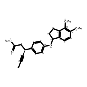 CC#C[C@@H](CC(=O)OC)c1ccc(OC2CCc3c2ccc(OC)c3OC)cc1